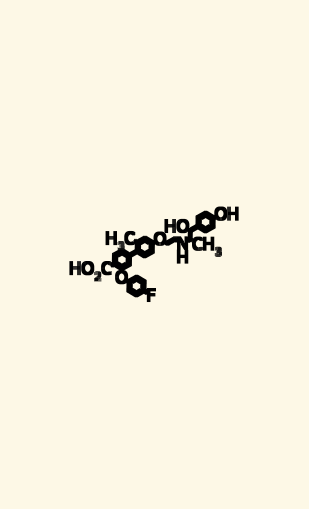 Cc1cc(OCCN[C@H](C)[C@@H](O)c2ccc(O)cc2)ccc1-c1ccc(C(=O)O)c(Oc2ccc(F)cc2)c1